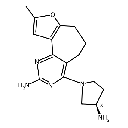 Cc1cc2c(o1)CCCc1c-2nc(N)nc1N1CC[C@@H](N)C1